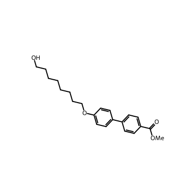 COC(=O)c1ccc(-c2ccc(OCCCCCCCCO)cc2)cc1